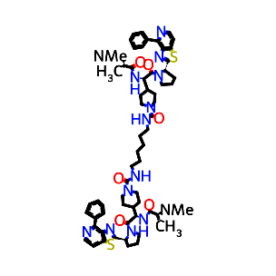 CN[C@@H](C)C(=O)N[C@H](C(=O)N1CCC[C@H]1c1nc2c(-c3ccccc3)nccc2s1)C1CCN(C(=O)NCCCCCCNC(=O)N2CCC([C@H](NC(=O)[C@H](C)NC)C(=O)N3CCC[C@H]3c3nc4c(-c5ccccc5)nccc4s3)CC2)CC1